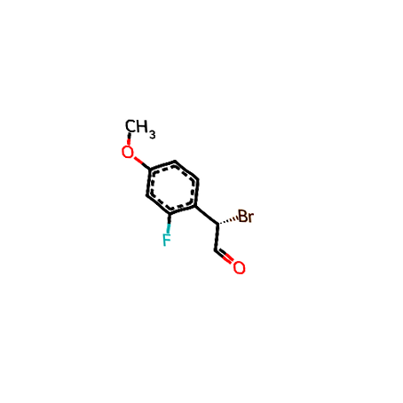 COc1ccc([C@H](Br)C=O)c(F)c1